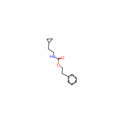 O=C(NCCC1CC1)OCCc1ccccc1